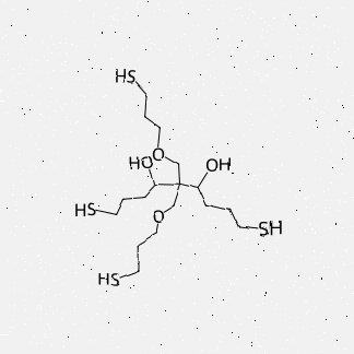 OC(CCCS)C(COCCCS)(COCCCS)C(O)CCCS